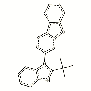 CC(C)(C)c1nc2ccccc2n1-c1ccc2c(c1)oc1ccccc12